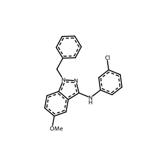 COc1ccc2c(c1)c(Nc1cccc(Cl)c1)nn2Cc1ccccc1